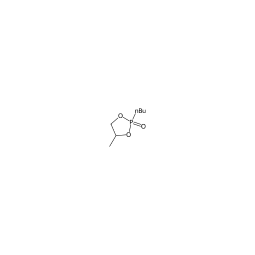 CCCCP1(=O)OCC(C)O1